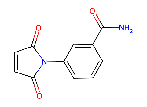 NC(=O)c1cccc(N2C(=O)C=CC2=O)c1